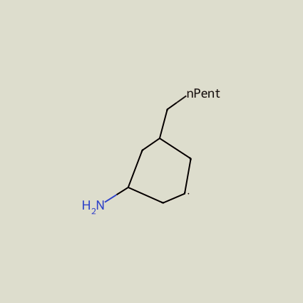 CCCCCCC1C[CH]CC(N)C1